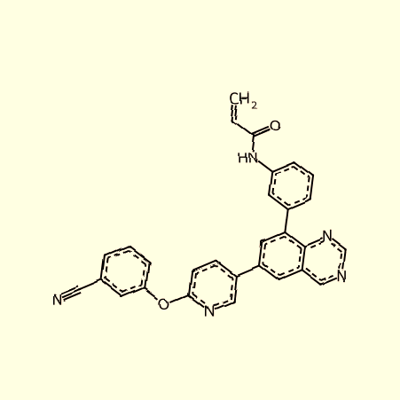 C=CC(=O)Nc1cccc(-c2cc(-c3ccc(Oc4cccc(C#N)c4)nc3)cc3cncnc23)c1